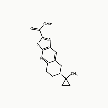 COC(=O)c1nc2cc3c(nc2s1)CC[C@H](C1(C)CC1)C3